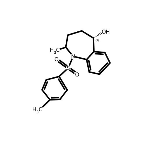 Cc1ccc(S(=O)(=O)N2c3ccccc3[C@@H](O)CCC2C)cc1